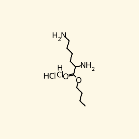 CCCCOC(=O)C(N)CCCCN.Cl.Cl